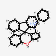 c1ccc(Nc2cccc3c2C2(c4ccccc4O3)c3ccccc3-c3ccccc32)cc1